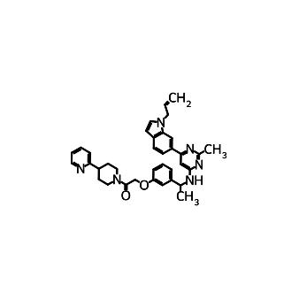 C=CCn1ccc2ccc(-c3cc(NC(C)c4cccc(OCC(=O)N5CCC(c6ccccn6)CC5)c4)nc(C)n3)cc21